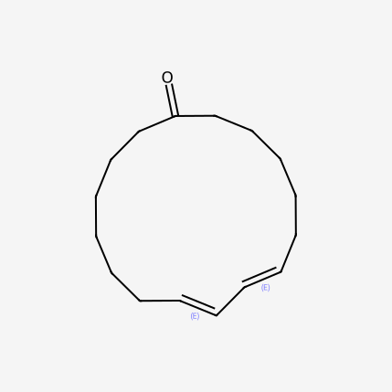 O=C1CCCCC/C=C/C=C/CCCCCC1